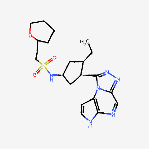 CC[C@@H]1C[C@H](NS(=O)(=O)CC2CCCCO2)C[C@@H]1c1nnc2cnc3[nH]ccc3n12